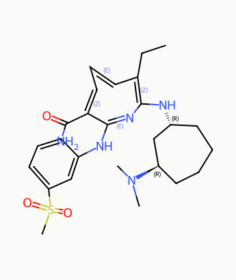 CCC1=C(N[C@@H]2CCCC[C@@H](N(C)C)C2)/N=C(Nc2cccc(S(C)(=O)=O)c2)\C(C(N)=O)=C\C=C\1